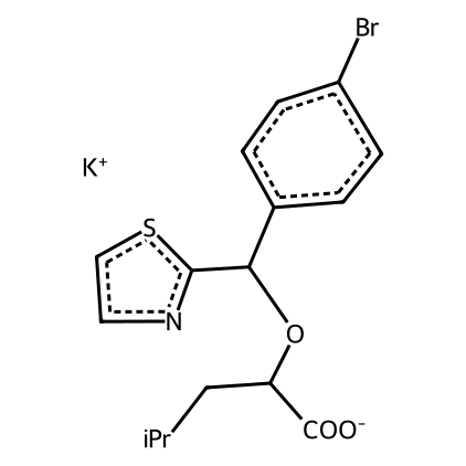 CC(C)CC(OC(c1ccc(Br)cc1)c1nccs1)C(=O)[O-].[K+]